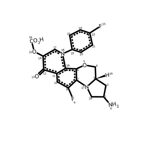 NC1C[C@H]2COc3c(c(F)cc4c(=O)c(OC(=O)O)cn(-c5ccc(F)cc5)c34)N2C1